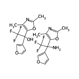 Cc1nc(C)c(C(N)(c2ccoc2)C(F)(F)F)o1.Cc1nc(C)c(C(O)(c2ccoc2)C(F)(F)F)o1